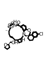 C[C@@H]1[C@@H](C)C/C=C/[C@H](OC[C@H]2CCCO2)[C@@H]2CC[C@H]2CN2C[C@@]3(CCCc4cc(Cl)ccc43)COc3ccc(cc32)C(=O)NS1(=O)=O